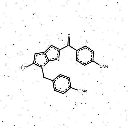 COc1ccc(Cn2c(C)cc3cc(C(=O)c4ccc(OC)cc4)sc32)cc1